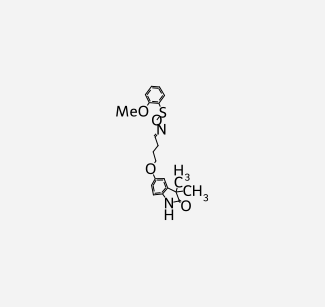 COc1ccccc1SON=CCCCOc1ccc2c(c1)C(C)(C)C(=O)N2